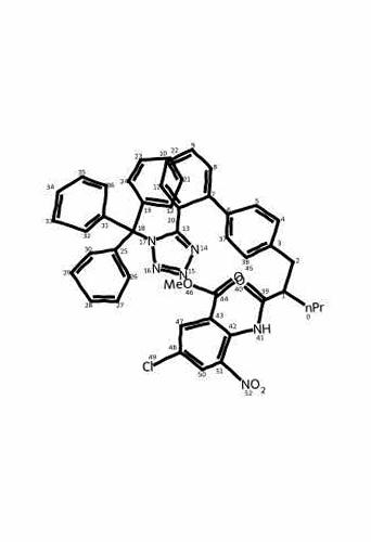 CCCC(Cc1ccc(-c2ccccc2-c2nnnn2C(c2ccccc2)(c2ccccc2)c2ccccc2)cc1)C(=O)Nc1c(C(=O)OC)cc(Cl)cc1[N+](=O)[O-]